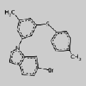 Cc1ccc(Sc2cc(C)cc(-n3ccc4ccc(Br)cc43)c2)cc1